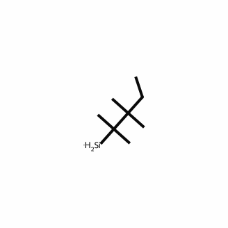 CCC(C)(C)C(C)(C)[SiH2]